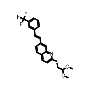 COC(CSc1ccc2ccc(/C=C/c3cccc(C(F)(F)F)c3)cc2n1)OC